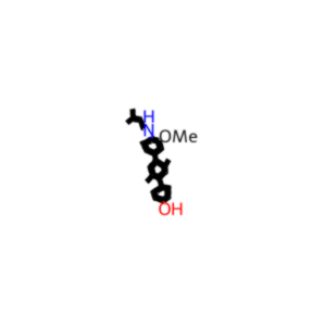 COc1cc(-c2cc(C)c(-c3ccc(O)cc3)cc2C)ccc1NCC=C(C)C